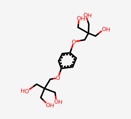 OCC(CO)(CO)COc1ccc(OCC(CO)(CO)CO)cc1